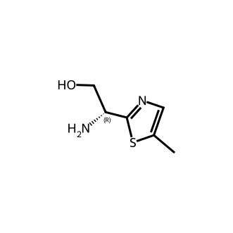 Cc1cnc([C@H](N)CO)s1